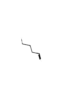 N=CCCCBr